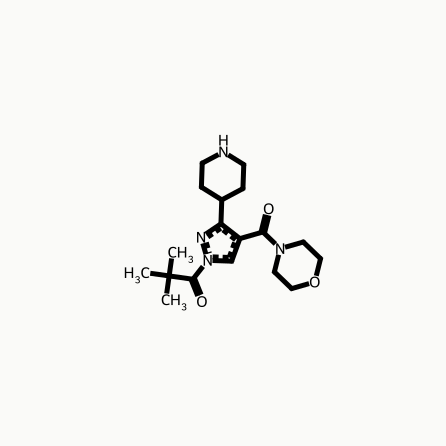 CC(C)(C)C(=O)n1cc(C(=O)N2CCOCC2)c(C2CCNCC2)n1